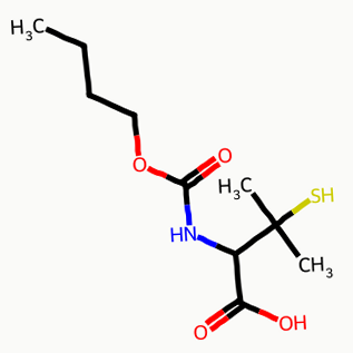 CCCCOC(=O)NC(C(=O)O)C(C)(C)S